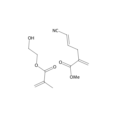 C=C(C)C(=O)OCCO.C=C(CC=CC#N)C(=O)OC